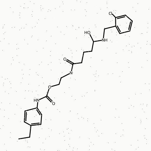 CCc1ccc(NC(=O)OCC[N]C(=O)CCCC(O)NCc2ccccc2Cl)cc1